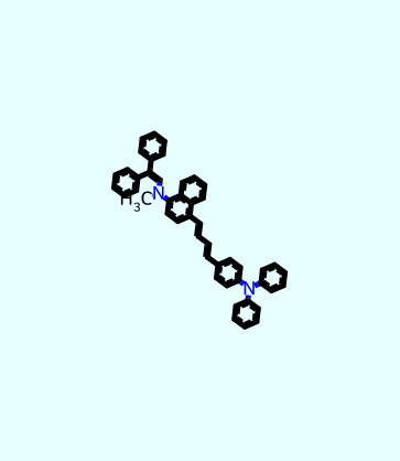 CN(C=C(c1ccccc1)c1ccccc1)c1ccc(/C=C/C=C/c2ccc(N(c3ccccc3)c3ccccc3)cc2)c2ccccc12